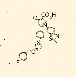 Cc1nc2ccc(-n3cc(C(=O)O)c(=O)cc3-c3ccc(N4CC[C@@H](OCc5ccc(F)cc5)C4)cc3)cc2s1